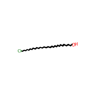 OCCCCCCCCCCCCCCCCCCCCCCCCCCCCCCCl